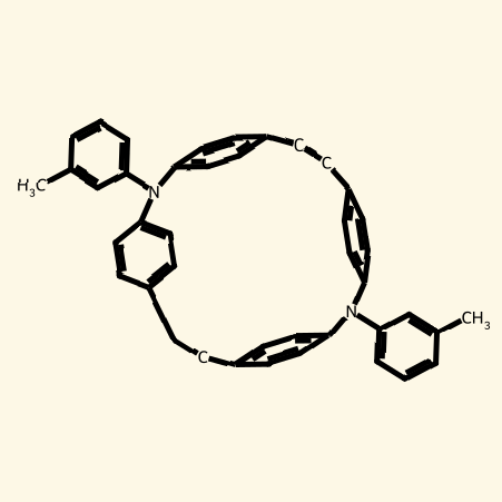 Cc1cccc(N2c3ccc(cc3)CCc3ccc(cc3)N(c3cccc(C)c3)c3ccc(cc3)CCc3ccc2cc3)c1